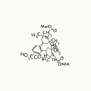 COC(=O)CCN1C(C)(C)CC(c2ccc(C(=O)O)c(C(=O)O)c2C2CC(C)(C)N(CCC(=O)OC)C(C)(C)C2)CC1(C)C